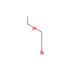 CCCCCCCC/C=C\CCCCCCCC(=O)OCCCCCCC/C=C\CCCCCCCCCCCCCCCCCCCCOC1CCCCO1